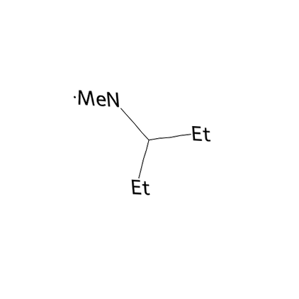 CCC(CC)[N]C